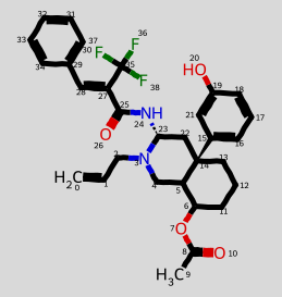 C=CCN1CC2C(OC(C)=O)CCC[C@@]2(c2cccc(O)c2)C[C@H]1NC(=O)C(=Cc1ccccc1)C(F)(F)F